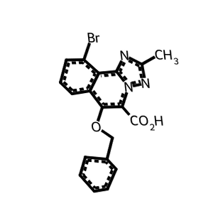 Cc1nc2c3c(Br)cccc3c(OCc3ccccc3)c(C(=O)O)n2n1